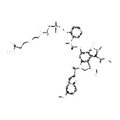 COC(=O)c1c(C)[nH]c2c(OC(=O)N(C)c3ccccc3SSC(C)(C)CC(=O)NCCOCCC(=O)O)cc3c(c12)[C@H](CCl)CN3C(=O)c1cc2cc(OC)ccc2o1